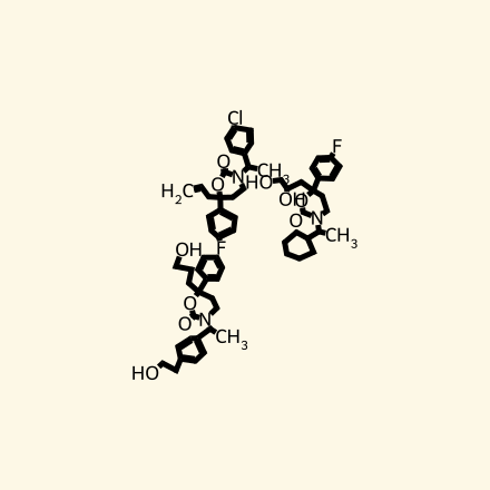 C=CCC1(c2ccc(F)cc2)CCN(C(C)c2ccc(Cl)cc2)C(=O)O1.CC(C1CCCCC1)N1CCC(CC(O)CO)(c2ccc(F)cc2)OC1=O.CC(c1ccc(CCO)cc1)N1CCC(CCCO)(c2ccccc2)OC1=O